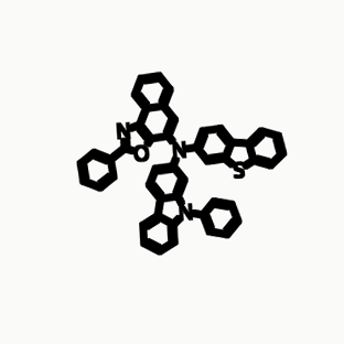 c1ccc(-c2nc3c(o2)c(N(c2ccc4c(c2)sc2ccccc24)c2ccc4c5ccccc5n(-c5ccccc5)c4c2)cc2ccccc23)cc1